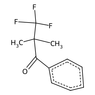 CC(C)(C(=O)c1ccccc1)C(F)(F)F